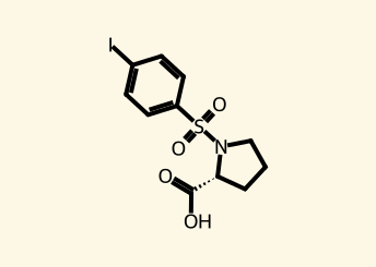 O=C(O)[C@H]1CCCN1S(=O)(=O)c1ccc(I)cc1